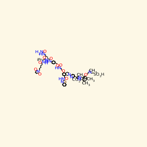 Cc1c(-c2ccc(N3CCc4c(OCCNC(=O)OCc5ccc(NC(=O)[C@H](CCCNC(N)=O)NC(=O)C(NC(=O)CCCCCN6C(=O)C=CC6=O)C(C)C)cc5)ccc(C(=O)Nc5nc6ccccc6s5)c4C3)nc2C(=O)O)cnn1CC12CC3(C)CC(C)(C1)CC(OCCN(C)CCS(=O)(=O)O)(C3)C2